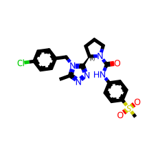 Cc1nnc([C@H]2CCCN2C(=O)Nc2ccc(S(C)(=O)=O)cc2)n1Cc1ccc(Cl)cc1